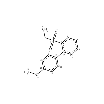 CCS(=O)(=O)c1cccnc1-c1ccc(OC)cn1